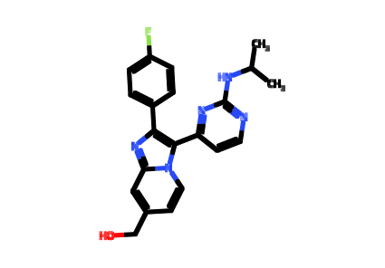 CC(C)Nc1nccc(-c2c(-c3ccc(F)cc3)nc3cc(CO)ccn23)n1